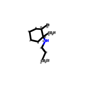 CCOC(=O)CCNC1(C(=O)O)CCCCC1CC